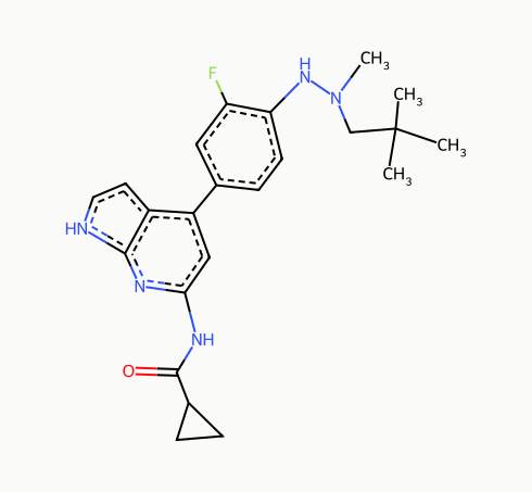 CN(CC(C)(C)C)Nc1ccc(-c2cc(NC(=O)C3CC3)nc3[nH]ccc23)cc1F